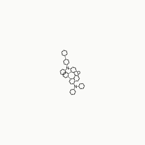 c1ccc(-c2ccc(N(c3ccccc3)c3ccc4oc5ccc6c(N(c7ccccc7)c7ccccc7)ccc7c6c5c4c3-c3ccccc3-7)cc2)cc1